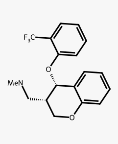 CNC[C@H]1COc2ccccc2[C@H]1Oc1ccccc1C(F)(F)F